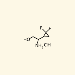 Cl.NC(CO)C1CC1(F)F